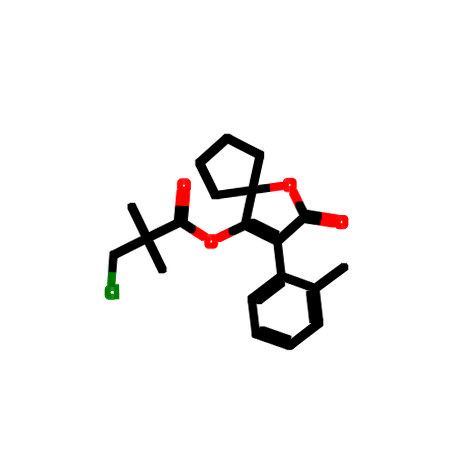 Cc1ccccc1C1=C(OC(=O)C(C)(C)CCl)C2(CCCC2)OC1=O